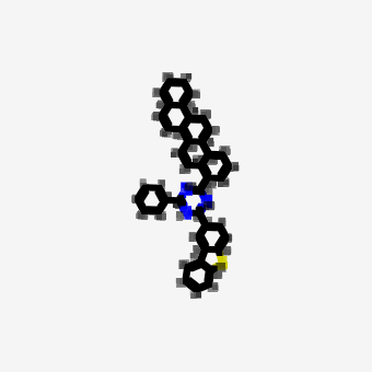 c1ccc(-c2nc(-c3ccc4sc5ccccc5c4c3)nc(-c3cccc4c3ccc3c4ccc4c5ccccc5ccc43)n2)cc1